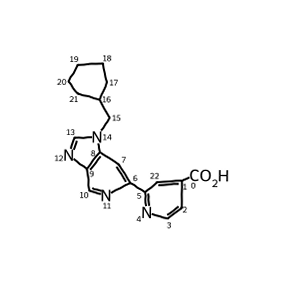 O=C(O)c1ccnc(-c2cc3c(cn2)ncn3CC2CCCCC2)c1